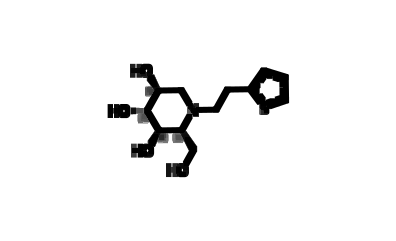 OC[C@H]1[C@@H](O)[C@H](O)[C@@H](O)CN1CCc1cccs1